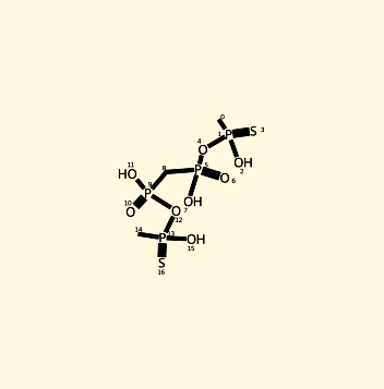 CP(O)(=S)OP(=O)(O)CP(=O)(O)OP(C)(O)=S